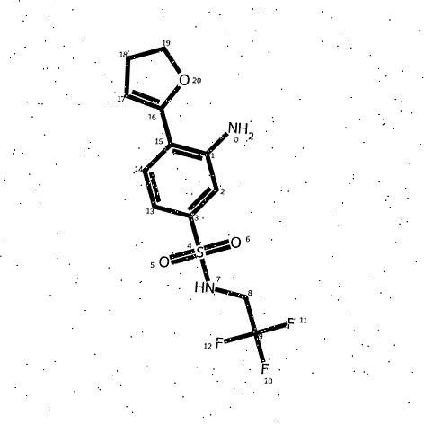 Nc1cc(S(=O)(=O)NCC(F)(F)F)ccc1C1=CCCO1